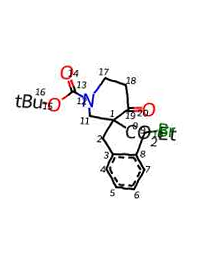 CCOC(=O)C1(Cc2ccccc2CBr)CN(C(=O)OC(C)(C)C)CCC1=O